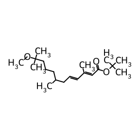 COC(C)(C)CCCC(C)C/C=C/C(C)=C/C(=O)OC(C)(C)C